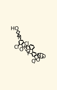 COC(=O)c1cc(F)c(-c2cccc3c2OCN(C(=O)c2c(Cl)cc(N4CC5(CC(O)C5)C4)cc2Cl)C3)cc1N1C2CCC1COC2